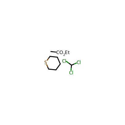 C1CCSCC1.CCOC(C)=O.ClC(Cl)Cl